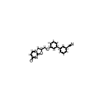 N#Cc1cccc(-c2cccc(OCC3Cn4ccc(=O)nc4O3)c2)c1